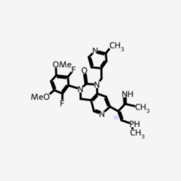 COc1cc(OC)c(F)c(N2Cc3cnc(/C(=C/PC)C(C)=N)cc3N(Cc3ccnc(C)c3)C2=O)c1F